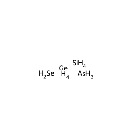 [AsH3].[GeH4].[SeH2].[SiH4]